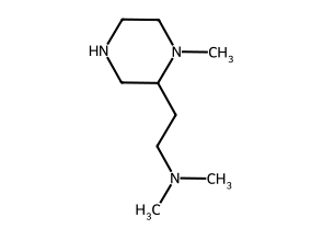 CN(C)CCC1CNCCN1C